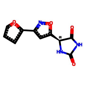 O=C1NC(=O)[C@H](c2cc(-c3ccco3)no2)N1